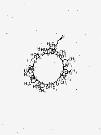 CC(C)C[C@@H]1C(=O)N[C@H](CC(C)C)C(=O)N(C)[C@H](C(C)C)C(=O)N(C)[C@H]([C@H](O)[C@H](C)CCN(C)CCC#N)C(=O)N[C@H]([C@@H](C)O)C(=O)N(C)CC(=O)N(C)[C@@H](CC(C)C)C(=O)N[C@H](CC(C)C)C(=O)N(C)[C@H](CC(C)C)C(=O)N[C@H](C)C(=O)O[C@@H](C(C)C)C(=O)N1C